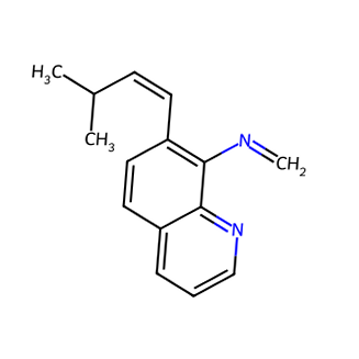 C=Nc1c(/C=C\C(C)C)ccc2cccnc12